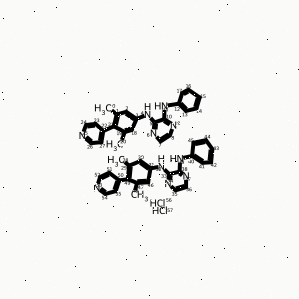 Cc1cc(Nc2nccnc2Nc2ccccc2)cc(C)c1-c1ccncc1.Cc1cc(Nc2nccnc2Nc2ccccc2)cc(C)c1-c1ccncc1.Cl.Cl